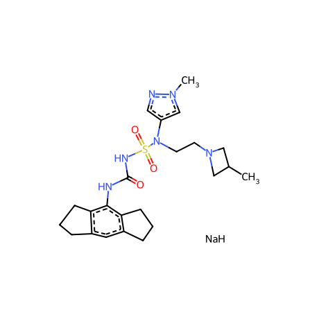 CC1CN(CCN(c2cnn(C)c2)S(=O)(=O)NC(=O)Nc2c3c(cc4c2CCC4)CCC3)C1.[NaH]